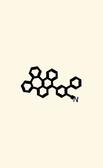 N#Cc1ccc(-c2c3ccccc3c3c4c(cccc24)-c2ccccc2-c2ccccc2-3)cc1-c1ccccc1